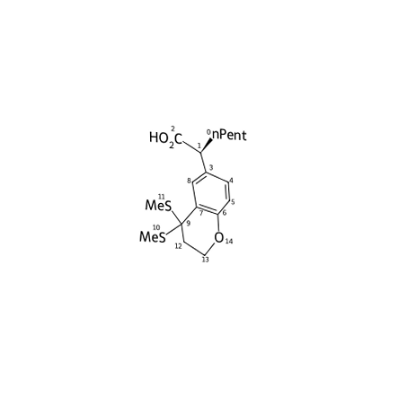 CCCCC[C@H](C(=O)O)c1ccc2c(c1)C(SC)(SC)CCO2